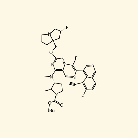 C#Cc1c(F)ccc2cccc(-c3ncc4c(N(C)[C@@H]5CCN(C(=O)OC(C)(C)C)[C@H]5C)nc(OC[C@@]56CCCN5C[C@H](F)C6)nc4c3F)c12